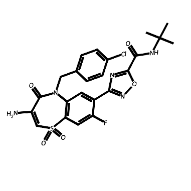 CC(C)(C)NC(=O)c1nc(-c2cc3c(cc2F)S(=O)(=O)C=C(N)C(=O)N3Cc2ccc(Cl)cc2)no1